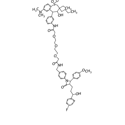 CCCCC1(CC)CS(=O)(=O)c2ccc(N(C)C)cc2C(c2cccc(NC(=O)COCCOCCOCC(=O)NCc3ccc(N4C(=O)C(CCC(O)c5ccc(F)cc5)C4c4ccc(OC)cc4)cc3)c2)C1O